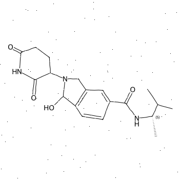 CC(C)[C@H](C)NC(=O)c1ccc2c(c1)CN(C1CCC(=O)NC1=O)C2O